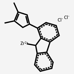 CC1=C(C)CC(c2cccc3c2[CH]([Zr+2])c2ccccc2-3)=C1.[Cl-].[Cl-]